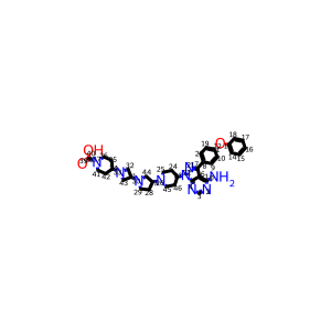 Nc1ncnc2c1c(-c1ccc(Oc3ccccc3)cc1)nn2C1CCN(C2CCN(C3CN(C4CCN(C(=O)O)CC4)C3)C2)CC1